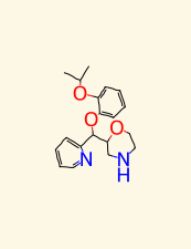 CC(C)Oc1ccccc1OC(c1ccccn1)C1CNCCO1